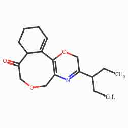 CCC(CC)C1=NC2=C(OC1)C1=CCCCC1C(=O)COC2